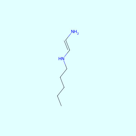 CCCCCNC=CN